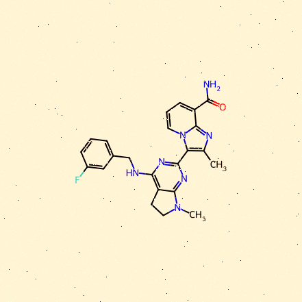 Cc1nc2c(C(N)=O)cccn2c1-c1nc(NCc2cccc(F)c2)c2c(n1)N(C)CC2